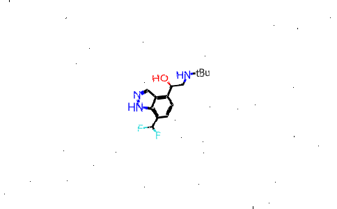 CC(C)(C)NC[C@H](O)c1ccc(C(F)F)c2[nH]ncc12